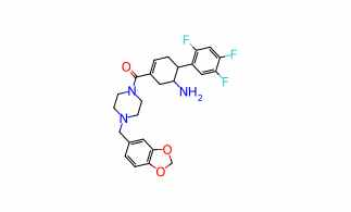 NC1CC(C(=O)N2CCN(Cc3ccc4c(c3)OCO4)CC2)=CCC1c1cc(F)c(F)cc1F